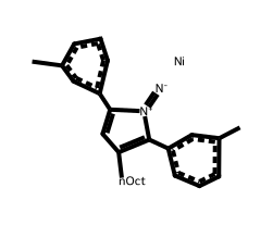 CCCCCCCCC1=C(c2cccc(C)c2)[N+](=[N-])C(c2cccc(C)c2)=C1.[Ni]